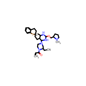 C=CC(=O)N1CCN(C2NC(OCC3CCCN3C)NC3C[C@]4(CCc5ccccc5S4)CCC32)CC1CC#N